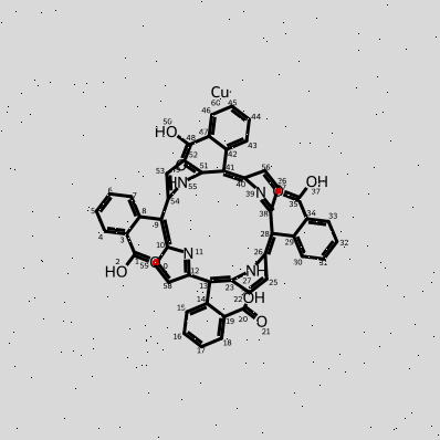 O=C(O)c1ccccc1-c1c2nc(c(-c3ccccc3C(=O)O)c3ccc([nH]3)c(-c3ccccc3C(=O)O)c3nc(c(-c4ccccc4C(=O)O)c4ccc1[nH]4)C=C3)C=C2.[Cu]